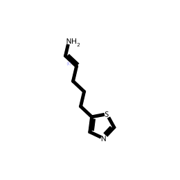 N/C=C/CCCc1cncs1